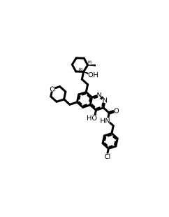 C[C@@H]1CCCC[C@@]1(O)CCc1cc(CC2CCOCC2)cc2c(O)c(C(=O)NCc3ccc(Cl)cc3)nnc12